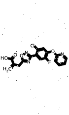 C=C(Cc1nc(-c2cc(F)c(Oc3ccccn3)cc2Cl)no1)C(=O)O